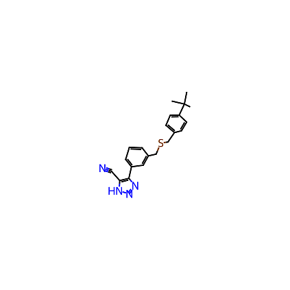 CC(C)(C)c1ccc(CSCc2cccc(-c3nn[nH]c3C#N)c2)cc1